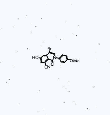 COc1ccc(-n2cc(Br)c3cc(O)cc(C#N)c3c2=O)cc1